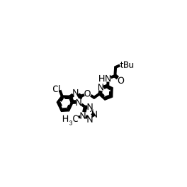 Cn1nnnc1-n1c(OCc2cccc(NC(=O)CC(C)(C)C)n2)nc2c(Cl)cccc21